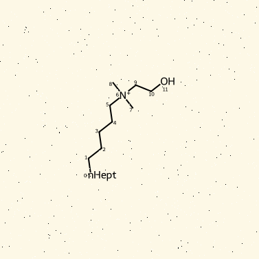 CCCCCCCCCCCC[N+](C)(C)CCO